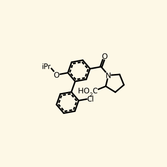 CC(C)Oc1ccc(C(=O)N2CCCC2C(=O)O)cc1-c1ccccc1Cl